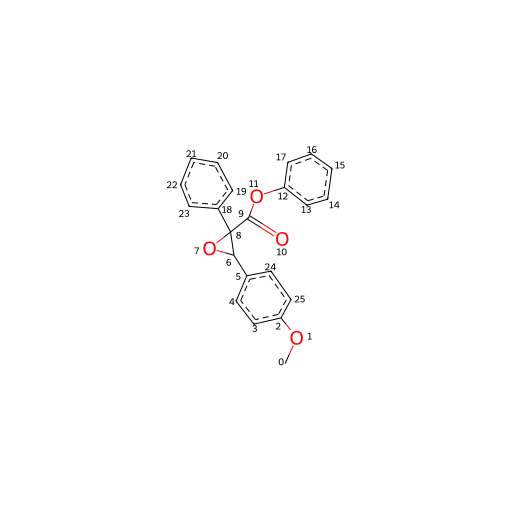 COc1ccc(C2OC2(C(=O)Oc2ccccc2)c2ccccc2)cc1